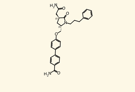 NC(=O)C[C@@H]1C[C@@H](COc2ccc(-c3ccc(C(N)=O)cc3)cc2)N(CCCc2ccccc2)C1=O